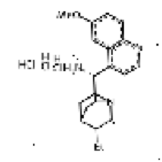 CCC1CN2CCC1CC2[C@H](N)c1ccnc2ccc(OC)cc12.Cl.Cl.Cl